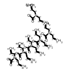 C=CCN(CC=C)C(=O)[O-].C=CCN(CC=C)C(=O)[O-].C=CCN(CC=C)C(=O)[O-].C=CCN(CC=C)C(=O)[O-].C=CCN(CC=C)C(=O)[O-].C=CCN(CC=C)C(=O)[O-].[Mo+6]